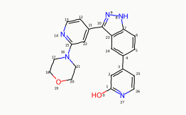 Oc1cc(-c2ccc3[nH]nc(-c4ccnc(N5CCOCC5)c4)c3c2)ccn1